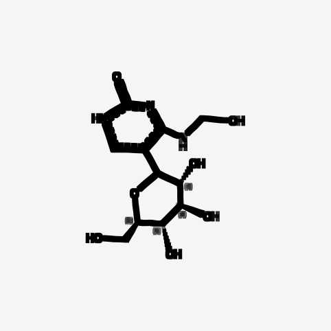 O=c1nc(NCO)c(C2O[C@H](CO)[C@@H](O)[C@H](O)[C@H]2O)c[nH]1